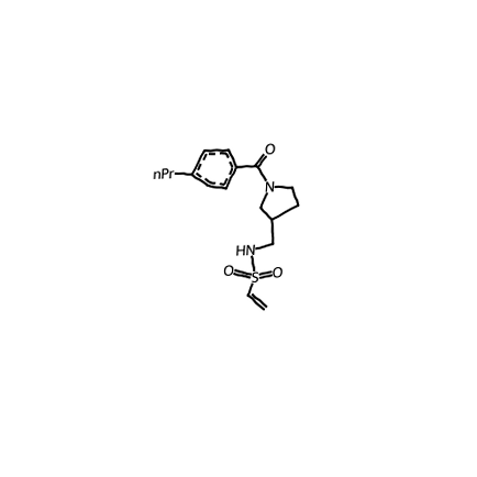 C=CS(=O)(=O)NCC1CCN(C(=O)c2ccc(CCC)cc2)C1